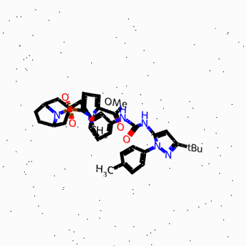 COC(=O)c1ccc(S(=O)(=O)N2C3CCC2CC(Cc2cccc(NC(=O)Nc4cc(C(C)(C)C)nn4-c4ccc(C)cc4)c2)C3)n1C